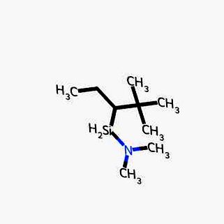 CCC([SiH2]N(C)C)C(C)(C)C